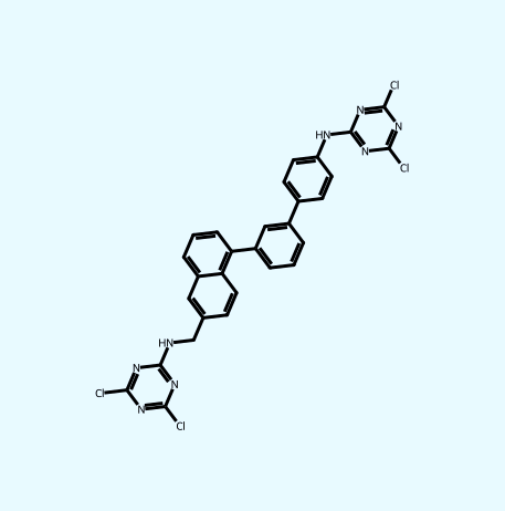 Clc1nc(Cl)nc(NCc2ccc3c(-c4cccc(-c5ccc(Nc6nc(Cl)nc(Cl)n6)cc5)c4)cccc3c2)n1